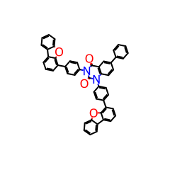 O=c1c2cc(-c3ccccc3)ccc2n(-c2ccc(-c3cccc4c3oc3ccccc34)cc2)c(=O)n1-c1ccc(-c2cccc3c2oc2ccccc23)cc1